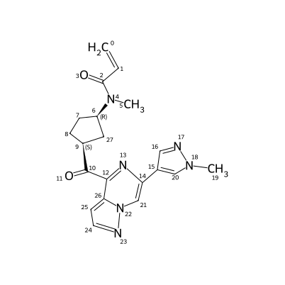 C=CC(=O)N(C)[C@@H]1CC[C@H](C(=O)c2nc(-c3cnn(C)c3)cn3nccc23)C1